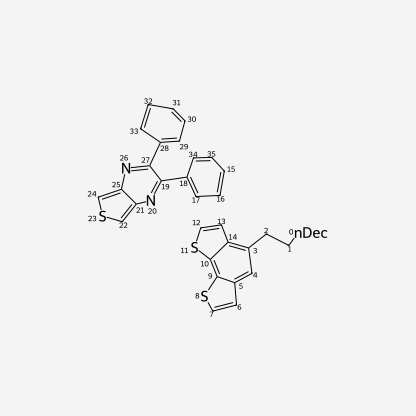 CCCCCCCCCCCCc1cc2ccsc2c2sccc12.c1ccc(-c2nc3cscc3nc2-c2ccccc2)cc1